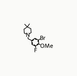 COc1c(F)cc(CN2CCC(C)(C)CC2)cc1Br